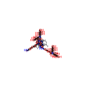 CN(CC(=O)NCCOCCOCCOC(=O)N(C[C@H](O)[C@@H](O)[C@H](O)[C@H](O)CO)C[C@H](O)[C@@H](O)[C@H](O)[C@H](O)CO)C(=O)CN(C)C(=O)CN(C)C(=O)C(CCCN(C[C@H](O)[C@@H](O)[C@H](O)[C@H](O)CO)C[C@H](O)[C@@H](O)[C@H](O)[C@H](O)CO)N(C)C(=O)CN(C)C(=O)CCOCCOCCOCCNI